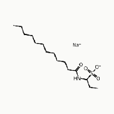 CCCCCCCCCCCC(=O)NC(CC)S(=O)(=O)[O-].[Na+]